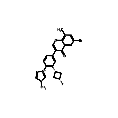 Cc1cc(Br)cc2c(=O)c(-c3ccc(-[n+]4cn(C)cn4)c([C@H]4C[C@@H](F)C4)c3)coc12